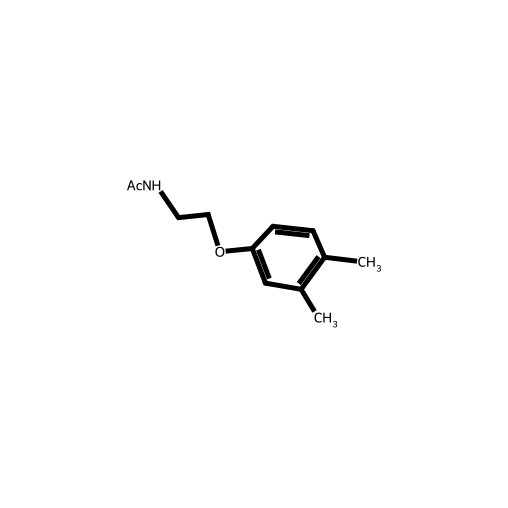 CC(=O)NCCOc1ccc(C)c(C)c1